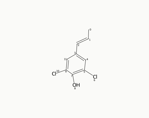 CC=Cc1cc(Cl)c(O)c(Cl)c1